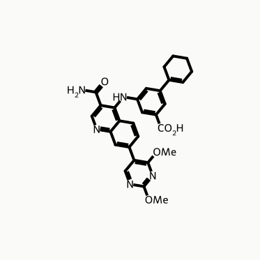 COc1ncc(-c2ccc3c(Nc4cc(C(=O)O)cc(C5=CCCCC5)c4)c(C(N)=O)cnc3c2)c(OC)n1